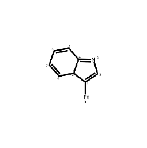 CCC1=CN=C2C=CC=CC12